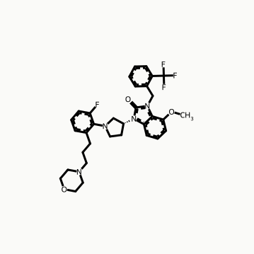 COc1cccc2c1n(Cc1ccccc1C(F)(F)F)c(=O)n2[C@@H]1CCN(c2c(F)cccc2CCCN2CCOCC2)C1